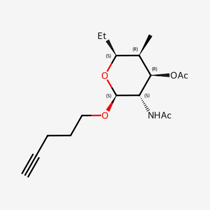 C#CCCCO[C@H]1O[C@@H](CC)[C@@H](C)[C@@H](OC(C)=O)[C@@H]1NC(C)=O